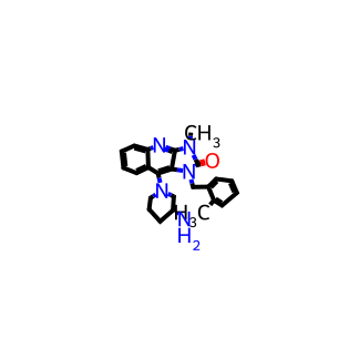 Cc1ccccc1Cn1c(=O)n(C)c2nc3ccccc3c(N3CCC[C@@H](N)C3)c21